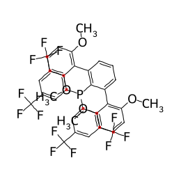 COc1cccc(OC)c1-c1cccc(-c2c(OC)cccc2OC)c1P(c1cc(C(F)(F)F)cc(C(F)(F)F)c1)c1cc(C(F)(F)F)cc(C(F)(F)F)c1